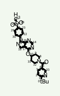 CC(C)(C)c1ccc(C(=O)N2CCC(Oc3ncnc4c3cnn4-c3ccc(S(C)(=O)=O)cc3)CC2)cn1